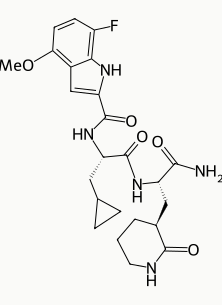 COc1ccc(F)c2[nH]c(C(=O)N[C@@H](CC3CC3)C(=O)N[C@@H](C[C@@H]3CCCNC3=O)C(N)=O)cc12